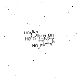 O=C(O)c1oc2cccc(O)c2c(=O)c1CCc1ccc(O)c(O)c1